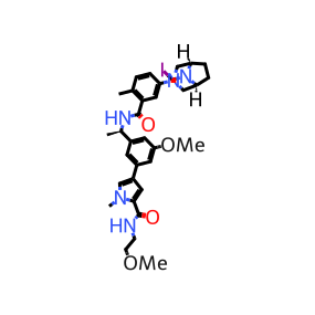 COCCNC(=O)c1cc(-c2cc(OC)cc([C@@H](C)NC(=O)c3cc(N4C[C@H]5CC[C@@H](C4)N5CI)ccc3C)c2)cn1C